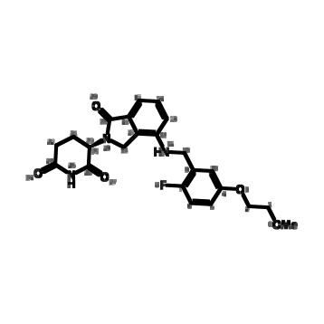 COCCOc1ccc(F)c(CNc2cccc3c2CN([C@@H]2CCC(=O)NC2=O)C3=O)c1